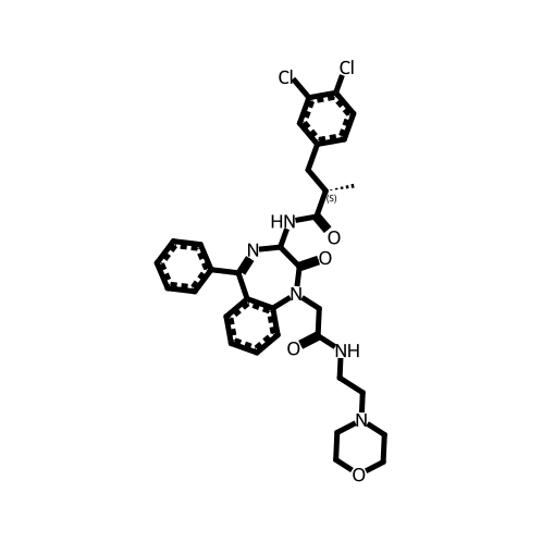 C[C@@H](Cc1ccc(Cl)c(Cl)c1)C(=O)NC1N=C(c2ccccc2)c2ccccc2N(CC(=O)NCCN2CCOCC2)C1=O